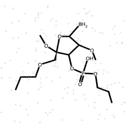 BC1O[C@@](COCCC)(OC)C(OP(=O)(O)OCCC)C1OC